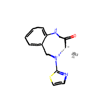 CC[C@H](C)[C@H]1C(=O)Nc2ccccc2CN1c1nccs1